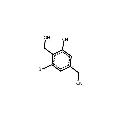 N#CCc1cc(Br)c(CO)c(C#N)c1